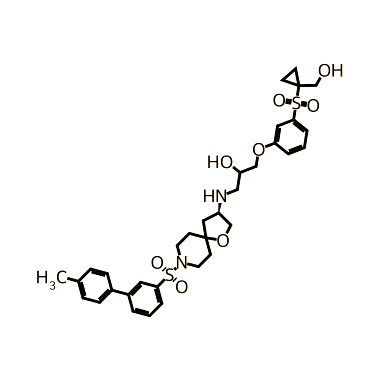 Cc1ccc(-c2cccc(S(=O)(=O)N3CCC4(CC3)C[C@@H](NCC(O)COc3cccc(S(=O)(=O)C5(CO)CC5)c3)CO4)c2)cc1